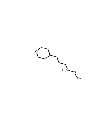 CCC(C)O[SiH2]CCCN1CCOCC1